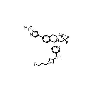 C[C@H]1Cc2cc(-c3cnn(C)c3)ccc2[C@@H](c2ccc(NC3CN(CCCF)C3)cn2)N1CC(F)(F)F